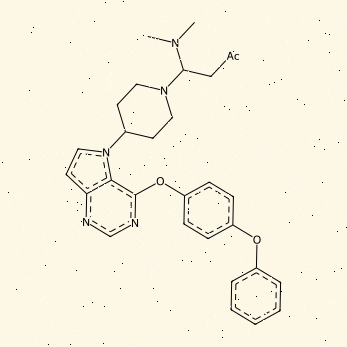 CC(=O)CC(N(C)C)N1CCC(n2ccc3ncnc(Oc4ccc(Oc5ccccc5)cc4)c32)CC1